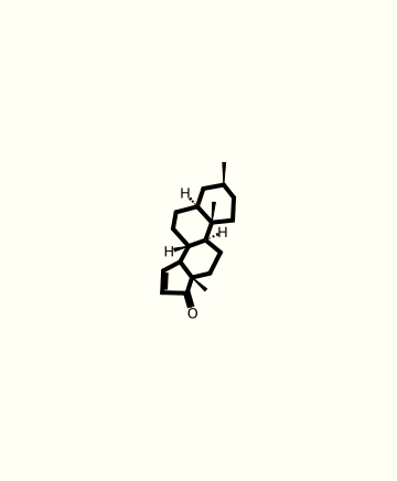 C[C@H]1CC[C@@]2(C)[C@@H](CC[C@H]3C4C=CC(=O)[C@@]4(C)CC[C@@H]32)C1